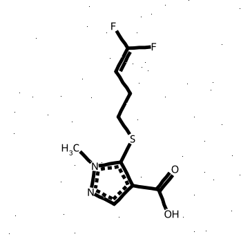 Cn1ncc(C(=O)O)c1SCCC=C(F)F